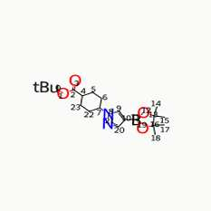 CC(C)(C)OC(=O)C1CCC(n2cc(B3OC(C)(C)C(C)(C)O3)cn2)CC1